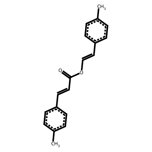 Cc1ccc(C=COC(=O)/C=C/c2ccc(C)cc2)cc1